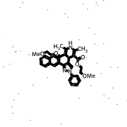 COCCOC(=O)C1=C(C)NC(C)=C(C(=O)OCCOC)C1c1cn(-c2ccccc2)nc1-c1ccc2ccccc2c1